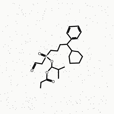 CCC(=O)OC(OP(=O)(C[C]=O)CCCC(c1ccccc1)C1CCCCC1)C(C)C